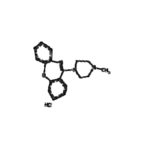 CN1CCN(C2=Nc3ccccc3Oc3ccccc32)CC1.Cl